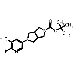 Cc1cc(N2CC3CN(C(=O)OC(C)(C)C)CC3C2)cnc1Cl